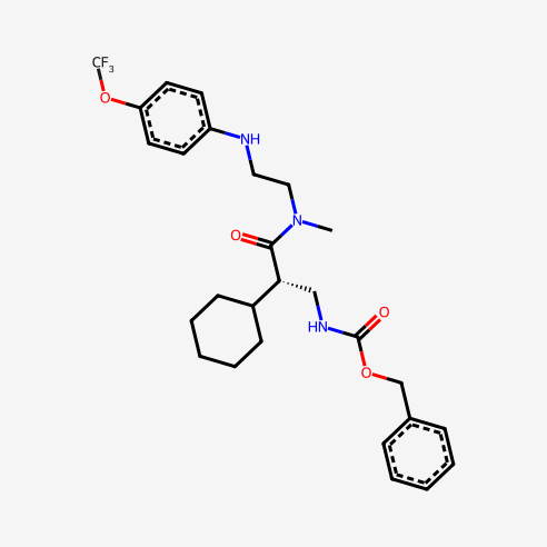 CN(CCNc1ccc(OC(F)(F)F)cc1)C(=O)[C@H](CNC(=O)OCc1ccccc1)C1CCCCC1